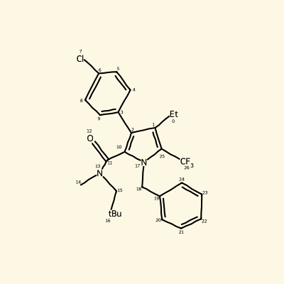 CCc1c(-c2ccc(Cl)cc2)c(C(=O)N(C)CC(C)(C)C)n(Cc2ccccc2)c1C(F)(F)F